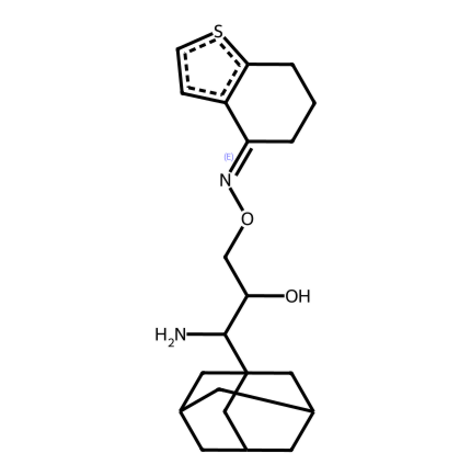 NC(C(O)CO/N=C1\CCCc2sccc21)C12CC3CC(CC(C3)C1)C2